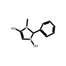 CN1C(O)=CN(O)C1c1ccccc1